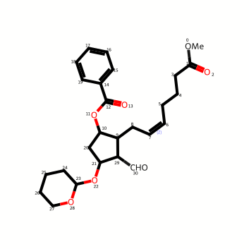 COC(=O)CCC/C=C\CC1C(OC(=O)c2ccccc2)CC(OC2CCCCO2)C1C=O